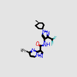 CC(C)c1ccn2ncc(C(=O)Nc3cn([C@H]4CC[C@H](C)CC4)nc3C(F)F)c2n1